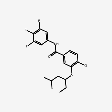 CCC(CC(C)C)Sc1cc(C(=O)Nc2cc(F)c(F)c(F)c2)ccc1Cl